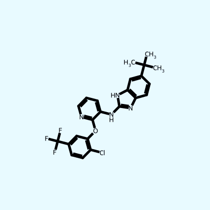 CC(C)(C)c1ccc2nc(Nc3cccnc3Oc3cc(C(F)(F)F)ccc3Cl)[nH]c2c1